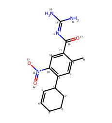 Cc1cc(C2C=CCCC2)c([N+](=O)[O-])cc1C(=O)N=C(N)N